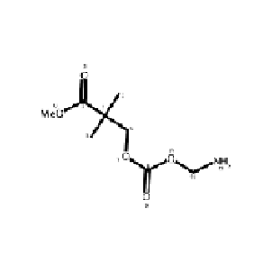 COC(=O)C(C)(C)COC(=O)OCN